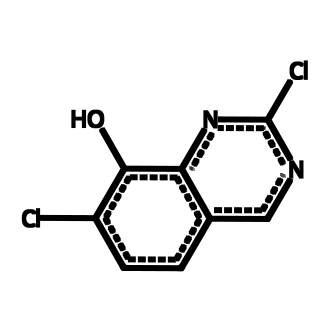 Oc1c(Cl)ccc2cnc(Cl)nc12